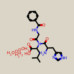 CC(C)CC(C(=O)O)N(C(=O)CNC(=O)c1ccccc1)C(=O)C(N)Cc1c[nH]cn1.O.O.O.O